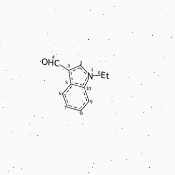 CCn1cc([C]=O)c2ccccc21